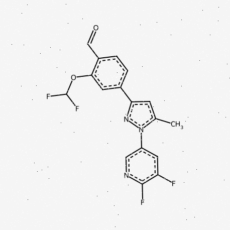 Cc1cc(-c2ccc(C=O)c(OC(F)F)c2)nn1-c1cnc(F)c(F)c1